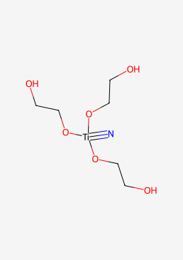 [N]#[Ti]([O]CCO)([O]CCO)[O]CCO